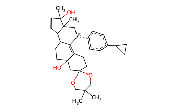 CC1(C)COC2(CCC3=C4C(CCC3(O)C2)C2CCC(C)(O)C2(C)C[C@@H]4c2ccc(C3CC3)cc2)OC1